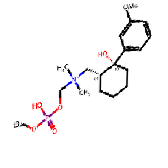 COc1cccc([C@@]2(O)CCCC[C@@H]2C[N+](C)(C)COP(=O)(O)OC(C)(C)C)c1